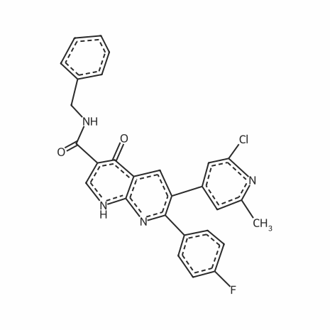 Cc1cc(-c2cc3c(=O)c(C(=O)NCc4ccccc4)c[nH]c3nc2-c2ccc(F)cc2)cc(Cl)n1